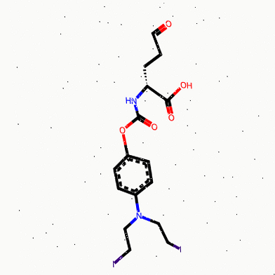 O=CCC[C@@H](NC(=O)Oc1ccc(N(CCI)CCI)cc1)C(=O)O